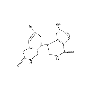 CC(C)(C)c1ccc2c(c1)C(c1cc(C(C)(C)C)cc3c1CNC(=O)C3)CNC2=O